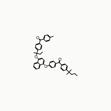 CCCC(C)(C)c1ccc(C(=O)c2ccc(Oc3ccc(OC(C)(CC)c4ccc(C(=O)c5ccc(C)cc5)cc4)c4ccccc34)cc2)cc1